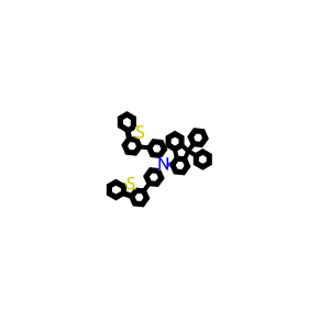 c1ccc(C2(c3ccccc3)c3ccccc3-c3c(N(c4ccc(-c5cccc6c5sc5ccccc56)cc4)c4cccc(-c5cccc6c5sc5ccccc56)c4)cccc32)cc1